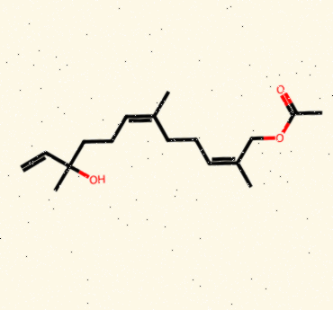 C=CC(C)(O)CCC=C(C)CCC=C(C)COC(C)=O